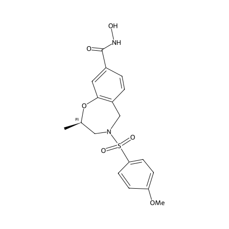 COc1ccc(S(=O)(=O)N2Cc3ccc(C(=O)NO)cc3O[C@H](C)C2)cc1